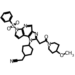 COC1CCN(C(=O)Cc2nc3cnc4c(ccn4S(=O)(=O)c4ccccc4)c3n2C2CCC(CC#N)CC2)CC1